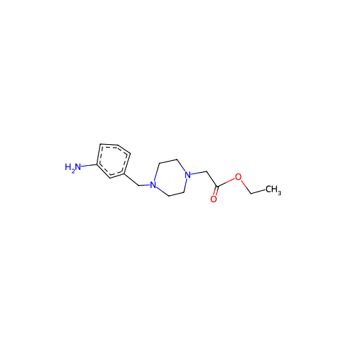 CCOC(=O)CN1CCN(Cc2cccc(N)c2)CC1